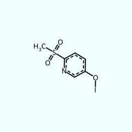 CS(=O)(=O)c1ccc(OI)cn1